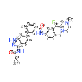 CCN1CCN2Cc3ccc(NC(=O)c4ccc(C)c(-c5ccc6c(NC(=O)C7CC7)n[nH]c6c5)c4)cc3C(F)=C2C1